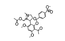 COc1cc(OC)c(C2CCN(C)[C@@H]2COC(C)=O)c(OC(=O)c2ccc([N+](=O)[O-])cc2)c1C(C)=O